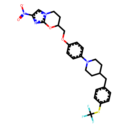 O=[N+]([O-])c1cn2c(n1)OC(COc1ccc(N3CCC(Cc4ccc(SC(F)(F)F)cc4)CC3)cc1)CC2